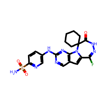 NS(=O)(=O)c1ccc(Nc2ncc3cc4n(c3n2)C2(CCCCC2)C(=O)NN=C4F)cn1